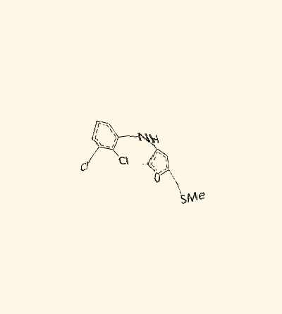 CSCc1cc(Nc2cccc(Cl)c2Cl)[c]o1